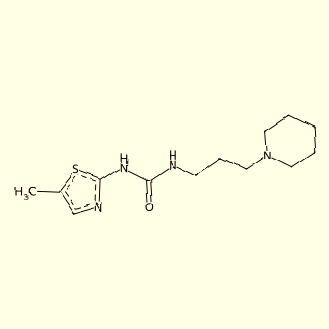 Cc1cnc(NC(=O)NCCCN2CCCCC2)s1